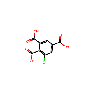 O=C(O)c1cc(Cl)c(C(=O)O)c(C(=O)O)c1